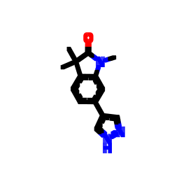 CN1C(=O)C(C)(C)c2ccc(-c3cn[nH]c3)cc21